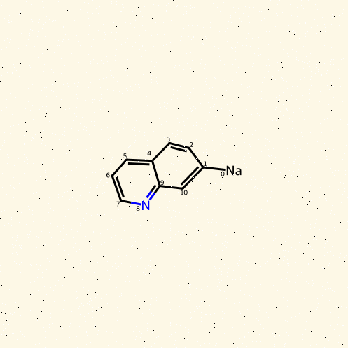 [Na][c]1ccc2cccnc2c1